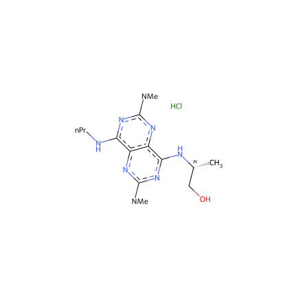 CCCNc1nc(NC)nc2c(N[C@H](C)CO)nc(NC)nc12.Cl